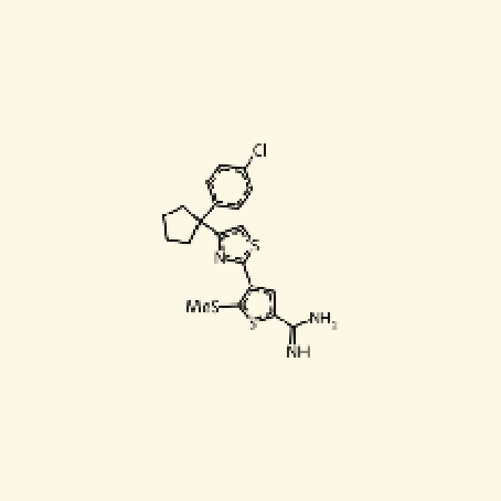 CSc1sc(C(=N)N)cc1-c1nc(C2(c3ccc(Cl)cc3)CCCC2)cs1